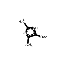 CC(=O)Oc1[nH]c(C)nc1C